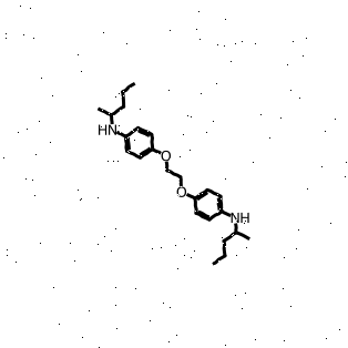 CCCC(C)Nc1ccc(OCCOc2ccc(NC(C)CCC)cc2)cc1